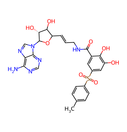 Cc1ccc(S(=O)(=O)c2cc(O)c(O)c(C(=O)NCC=CC3OC(n4cnc5c(N)ncnc54)[C@H](O)C3O)c2)cc1